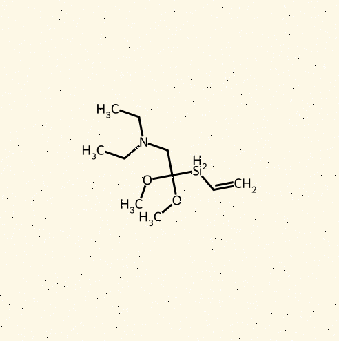 C=C[SiH2]C(CN(CC)CC)(OC)OC